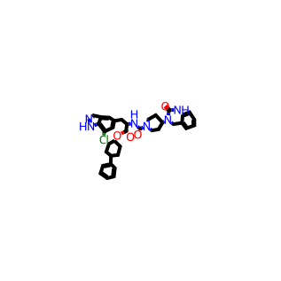 O=C(OC1CCC(c2ccccc2)CC1)C(Cc1cc(Cl)c2[nH]ncc2c1)NC(=O)N1CCC(N2Cc3ccccc3NC2=O)CC1